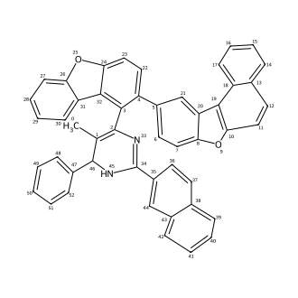 CC1=C(c2c(-c3ccc4oc5ccc6ccccc6c5c4c3)ccc3oc4ccccc4c23)N=C(c2ccc3ccccc3c2)NC1c1ccccc1